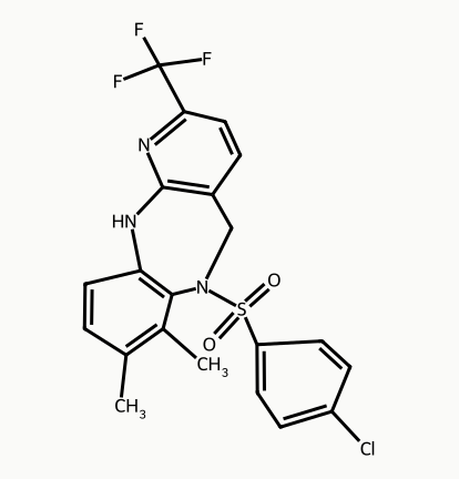 Cc1ccc2c(c1C)N(S(=O)(=O)c1ccc(Cl)cc1)Cc1ccc(C(F)(F)F)nc1N2